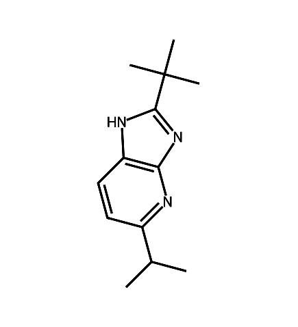 CC(C)c1ccc2[nH]c(C(C)(C)C)nc2n1